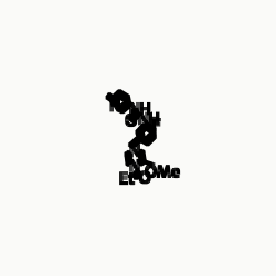 CCC(=O)N1CCN(Cc2ccc(F)c(NC(=O)Nc3ccc(C)nc3)c2)C[C@H]1COC